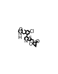 Cc1cc(Cl)cc(-c2ccnc3cc(CN4C(=O)C5CC5C4=O)sc23)c1CC1COCCN1